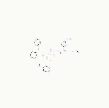 C=CCO/N=C(/C(=O)NC1C(=O)N2C(C(=O)OC(c3ccccc3)c3ccccc3)=C(CS/C=C\c3cccnc3)CS[C@H]12)c1csc(NC=O)n1